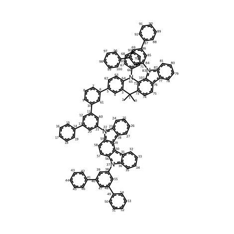 CC1(C)c2cc(-c3cccc(-c4cc(-c5ccccc5)cc(-n5c6ccccc6c6c7c8ccccc8n(-c8cc(-c9ccccc9)cc(-c9ccccc9)c8)c7ccc65)c4)c3)ccc2N(c2ccccc2)c2c1ccc1c3ccccc3n(-c3cc(-c4ccccc4)cc(-c4ccccc4)c3)c21